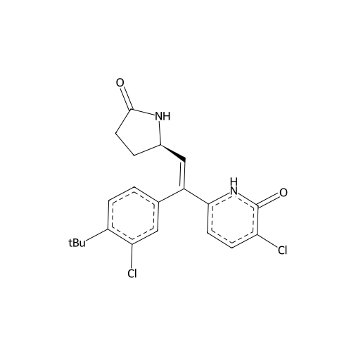 CC(C)(C)c1ccc(/C(=C\[C@H]2CCC(=O)N2)c2ccc(Cl)c(=O)[nH]2)cc1Cl